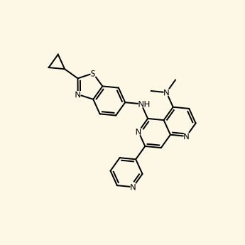 CN(C)c1ccnc2cc(-c3cccnc3)nc(Nc3ccc4nc(C5CC5)sc4c3)c12